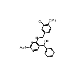 COc1ccc(CNc2nc(SC)ncc2C(O)c2cccnc2)cc1Cl